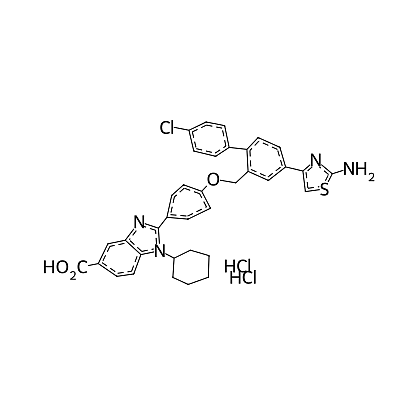 Cl.Cl.Nc1nc(-c2ccc(-c3ccc(Cl)cc3)c(COc3ccc(-c4nc5cc(C(=O)O)ccc5n4C4CCCCC4)cc3)c2)cs1